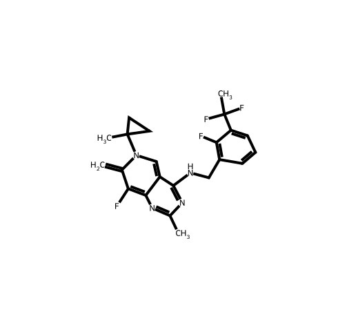 C=C1C(F)=c2nc(C)nc(NCc3cccc(C(C)(F)F)c3F)c2=CN1C1(C)CC1